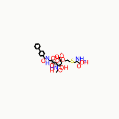 COC(=O)[C@@]1(OCCCSCC(N)C(=O)O)C[C@@H](O)[C@@H](NC(C)=O)[C@@H]([C@H](O)[C@H](O)CNC(=O)c2ccc(-c3ccccc3)cc2)O1